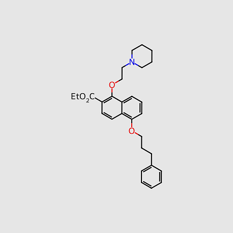 CCOC(=O)c1ccc2c(OCCCc3ccccc3)cccc2c1OCCN1CCCCC1